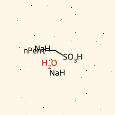 CCCCCCS(=O)(=O)O.O.[NaH].[NaH]